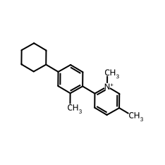 Cc1ccc(-c2ccc(C3CCCCC3)cc2C)[n+](C)c1